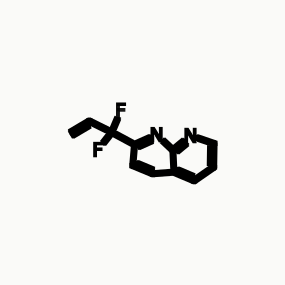 C=CC(F)(F)c1ccc2cccnc2n1